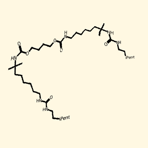 CCCC(C)CCNC(=O)NCCCCCCC(C)(C)NC(=O)OCCCCOC(=O)NCCCCCCC(C)(C)NC(=O)NCCC(C)CCC